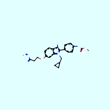 CC(C)OC(=O)Nc1ccc(-c2c(N)c3ccc(OCCC(=N)/N=N\N)cc3n2CC2CC2)cc1